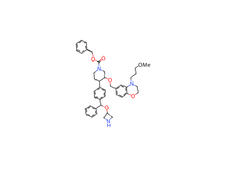 COCCCN1CCOc2ccc(COC3CN(C(=O)OCc4ccccc4)CCC3c3ccc(C(OC4CNC4)c4ccccc4)cc3)cc21